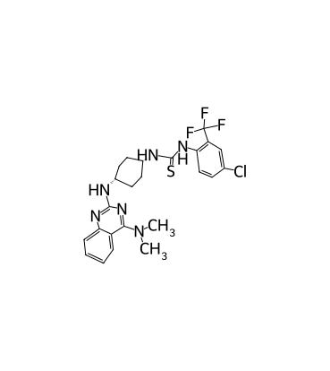 CN(C)c1nc(N[C@H]2CC[C@@H](NC(=S)Nc3ccc(Cl)cc3C(F)(F)F)CC2)nc2ccccc12